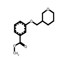 COC(=O)c1cccc(OCC2CCCOC2)c1